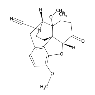 COc1ccc2c3c1O[C@H]1C(=O)C[C@@H](C)C4(OC)[C@@H](C2)N(C#N)CC[C@]314